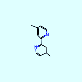 Cc1ccnc(C2=NC=CC(C)C2)c1